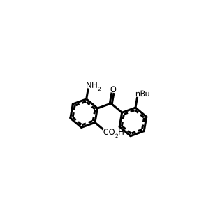 CCCCc1ccccc1C(=O)c1c(N)cccc1C(=O)O